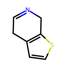 C1=NCc2sccc2C1